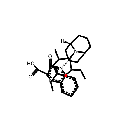 CCC1=CC(C)C(N2C3CCC[C@H]2C[C@@H](n2c(=O)c(C(=O)O)nc4ccccc42)C3)C(CC)C1